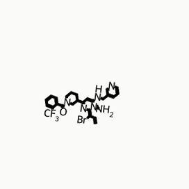 C=C/C(Br)=C1/N=C(C2CCCN(C(=O)c3ccccc3C(F)(F)F)C2)C=C(NCc2cccnc2)N1N